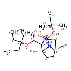 CC[Si](CC)(CC)O[C@@H](C)[C@H]1NC[C@H]2CC[C@@H]1N2C(=O)OC(C)(C)C